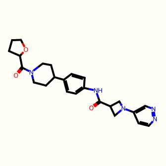 O=C(Nc1ccc(C2CCN(C(=O)C3CCCO3)CC2)cc1)C1CN(c2ccnnc2)C1